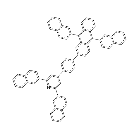 c1ccc2cc(-c3cc(-c4ccc(-c5ccc6c(-c7ccc8ccccc8c7)c7ccccc7c(-c7ccc8ccccc8c7)c6c5)cc4)cc(-c4ccc5ccccc5c4)n3)ccc2c1